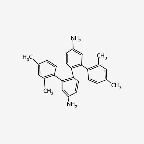 Cc1ccc(-c2cc(N)ccc2-c2ccc(N)cc2-c2ccc(C)cc2C)c(C)c1